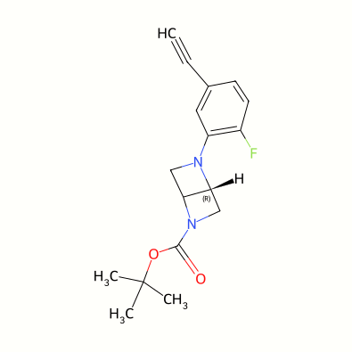 C#Cc1ccc(F)c(N2CC3[C@H]2CN3C(=O)OC(C)(C)C)c1